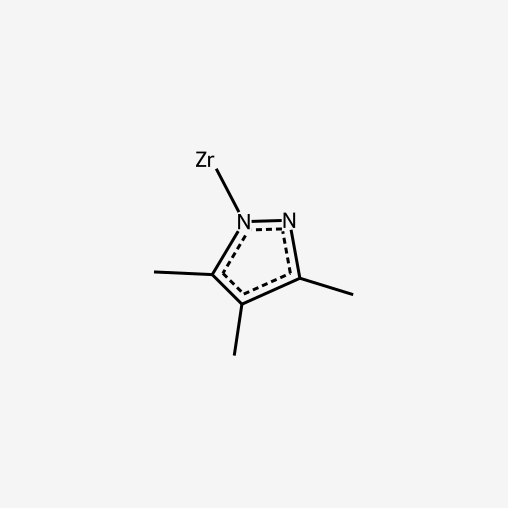 Cc1n[n]([Zr])c(C)c1C